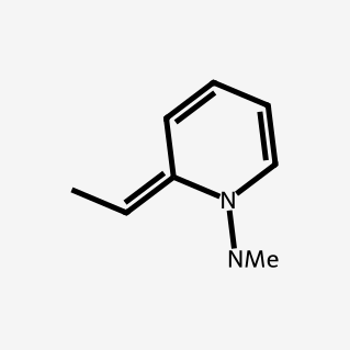 CC=C1C=CC=CN1NC